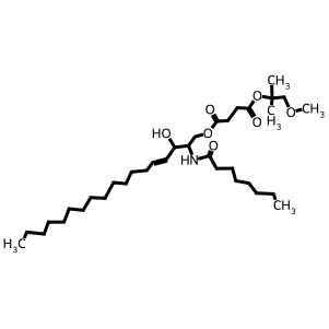 CCCCCCCCCCCCC/C=C/C(O)C(COC(=O)CCC(=O)OC(C)(C)COC)NC(=O)CCCCCCC